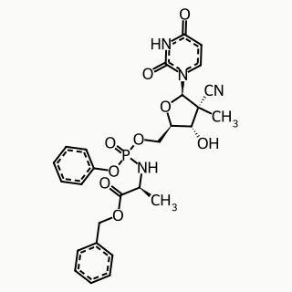 C[C@H](NP(=O)(OC[C@H]1O[C@@H](n2ccc(=O)[nH]c2=O)[C@](C)(C#N)[C@@H]1O)Oc1ccccc1)C(=O)OCc1ccccc1